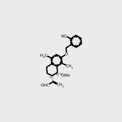 C=C(C=O)[C@@H]1CCc2c(C)cc(OCc3ccccc3C#N)c(C)c2[C@@H]1OC